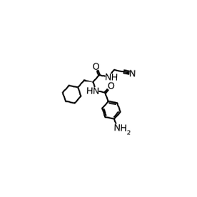 N#CCNC(=O)[C@H](CC1CCCCC1)NC(=O)c1ccc(N)cc1